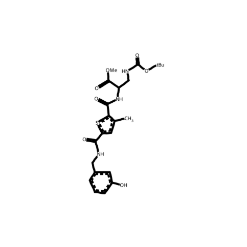 COC(=O)C(CNC(=O)OC(C)(C)C)NC(=O)c1sc(C(=O)NCc2cccc(O)c2)cc1C